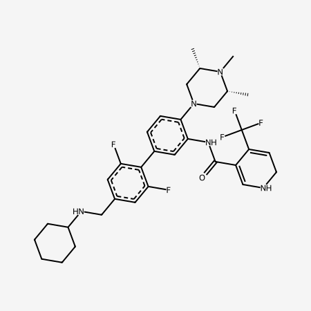 C[C@@H]1CN(c2ccc(-c3c(F)cc(CNC4CCCCC4)cc3F)cc2NC(=O)C2=CNCC=C2C(F)(F)F)C[C@H](C)N1C